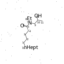 CCCCCCCCCCCC(=O)N(CC)CC(C)O